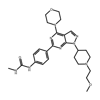 CNC(=O)Nc1ccc(-c2nc(N3CCOCC3)c3cnn(C4CCN(CCOC)CC4)c3n2)cc1